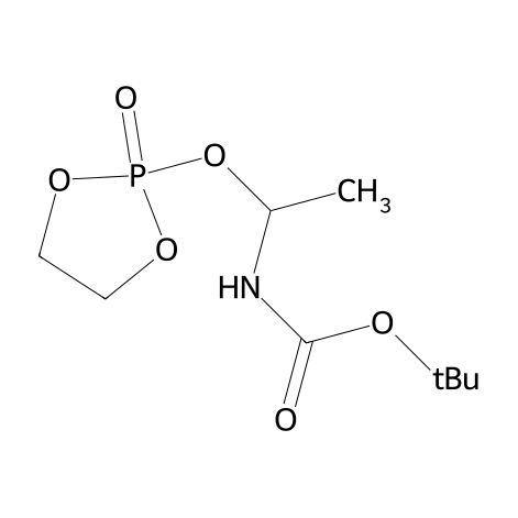 CC(NC(=O)OC(C)(C)C)OP1(=O)OCCO1